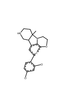 CC12CCNCC1c1cc(-c3ccc(Cl)cc3Cl)cc3c1N2CCO3